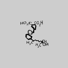 CC(CCCCCC(C)(C)O)c1cccc(OCc2ccc(C(=O)O)c(C(=O)O)c2)c1